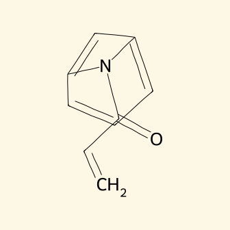 C=CC(=O)N1c2cccc1c2